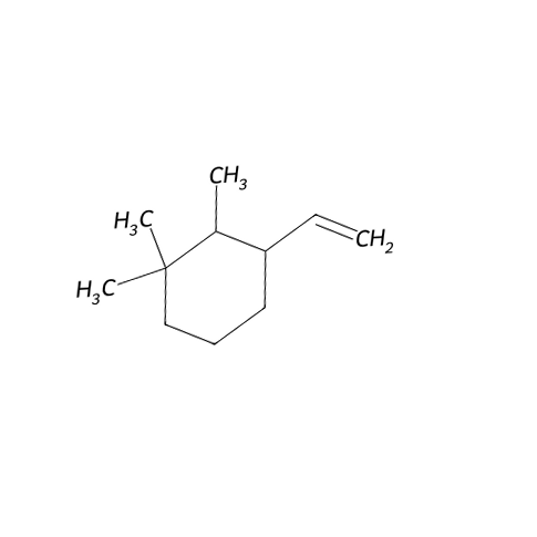 C=CC1CCCC(C)(C)C1C